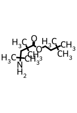 CC(C)(C)CCOC(=O)C(C)(C)CC(C)(C)N